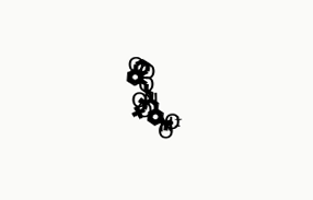 CC(C)(C)OC(=O)N(CCOc1cccc2c1OCCO2)Cc1cccc([N+](=O)[O-])c1